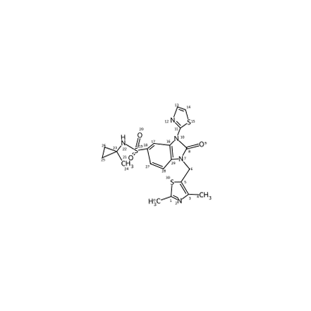 Cc1nc(C)c(Cn2c(=O)n(-c3nccs3)c3cc(S(=O)(=O)NC4(C)CC4)ccc32)s1